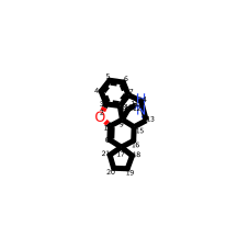 C1=C2Oc3cccc4c3C23CCNC(C4)C3CC12CCCC2